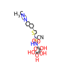 CN1CCN(c2ccc3cc(-c4ccc(/C=C(\C#N)S(=O)(=O)NC[C@H]5OC(O)[C@H](O)[C@@H](O)[C@@H]5O)s4)ccc3c2)CC1